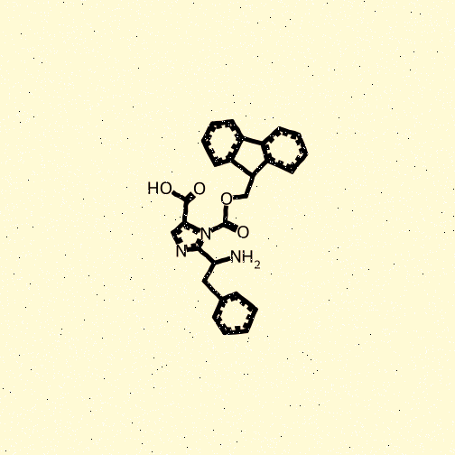 NC(Cc1ccccc1)c1ncc(C(=O)O)n1C(=O)OCC1c2ccccc2-c2ccccc21